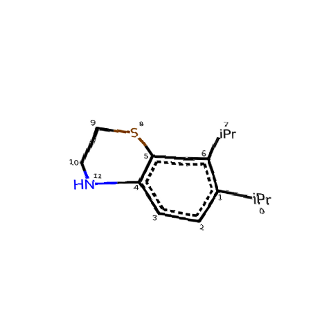 CC(C)c1ccc2c(c1C(C)C)SCCN2